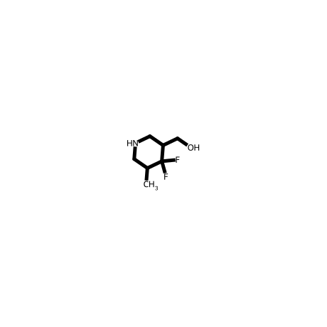 CC1CNCC(CO)C1(F)F